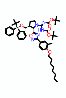 CCCCCCCCOc1ccc(-c2noc([C@@H]3[C@@H](CO[Si](c4ccccc4)(c4ccccc4)C(C)(C)C)CCN3/C(=N/C(=O)OC(C)(C)C)NC(=O)OC(C)(C)C)n2)cc1C